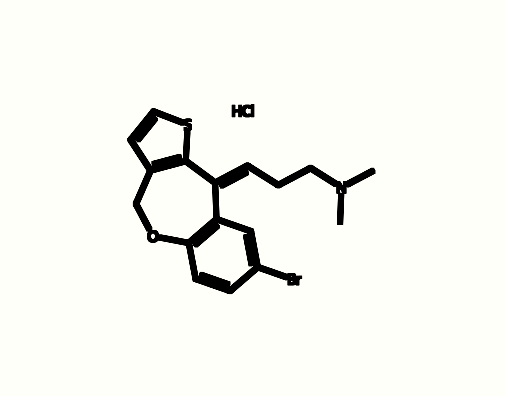 CN(C)CC/C=C1\c2cc(Br)ccc2OCc2ccsc21.Cl